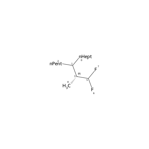 CCCCCCCC(CCCCC)[C@@H](C)C(F)F